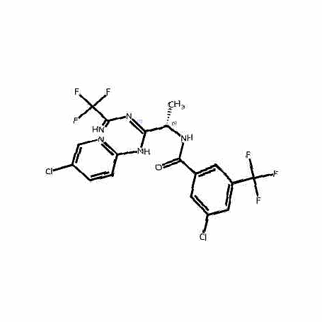 C[C@H](NC(=O)c1cc(Cl)cc(C(F)(F)F)c1)/C(=N/C(=N)C(F)(F)F)Nc1ccc(Cl)cn1